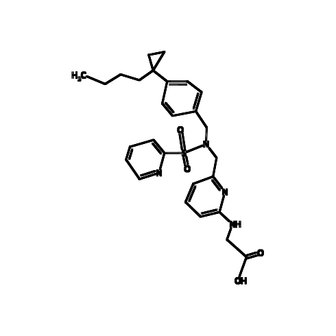 CCCCC1(c2ccc(CN(Cc3cccc(NCC(=O)O)n3)S(=O)(=O)c3ccccn3)cc2)CC1